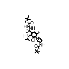 CC(C)Nc1c(C(=O)NNC(=O)OC(C)(C)C)cc(F)c(N2CCC(NC(=O)OC(C)(C)C)C2)c1Cl